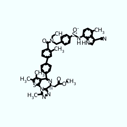 CCN(Cc1ccc([S+]([O-])Nc2ccc(C)c3c(C#N)c[nH]c23)cc1)C(=O)c1ccc(-c2ccc(C3=N[C@@H](CC(=O)OC)c4nnc(C)n4-c4sc(C)c(C)c43)cc2)cc1C